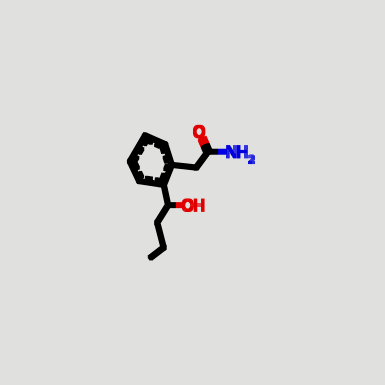 CCCC(O)c1ccccc1CC(N)=O